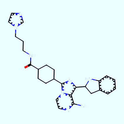 Nc1nccn2c(C3CCC(C(=O)NCCCn4ccnc4)CC3)nc(C3Cc4ccccc4N3)c12